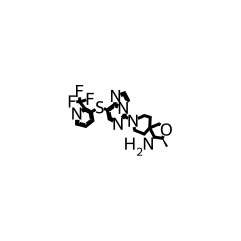 C[C@@H]1OCC2(CCN(c3ncc(Sc4cccnc4C(F)(F)F)c4nccn34)CC2)[C@@H]1N